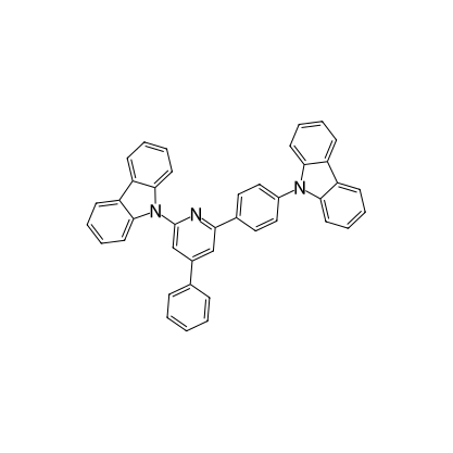 c1ccc(-c2cc(-c3ccc(-n4c5ccccc5c5ccccc54)cc3)nc(-n3c4ccccc4c4ccccc43)c2)cc1